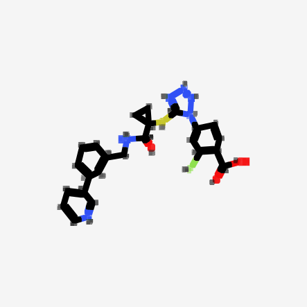 O=C(O)c1ccc(-n2nnnc2SC2(C(=O)NCc3cccc(-c4cccnc4)c3)CC2)cc1F